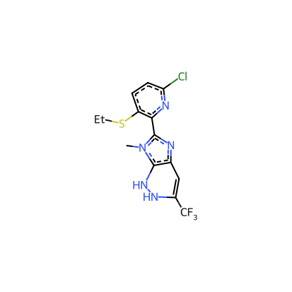 CCSc1ccc(Cl)nc1-c1nc2c(n1C)NNC(C(F)(F)F)=C2